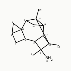 BC1(C)C2C3CC4CC43C3CC4C2C1(C)C43C